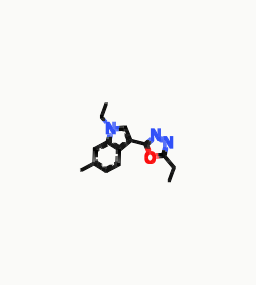 CCc1nnc(-c2cn(CC)c3cc(C)ccc23)o1